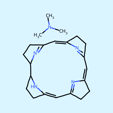 C1=C2/CCC(=N2)/C=C2/CCC(N2)C2CCC(=N2)/C=C2/CCC/1=N2.CN(C)C